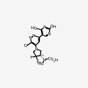 CC(C)(C)N(C(=O)O)[C@H]1CN(c2cc(-c3cnc(O)nc3O)nnc2Cl)CC1(F)F